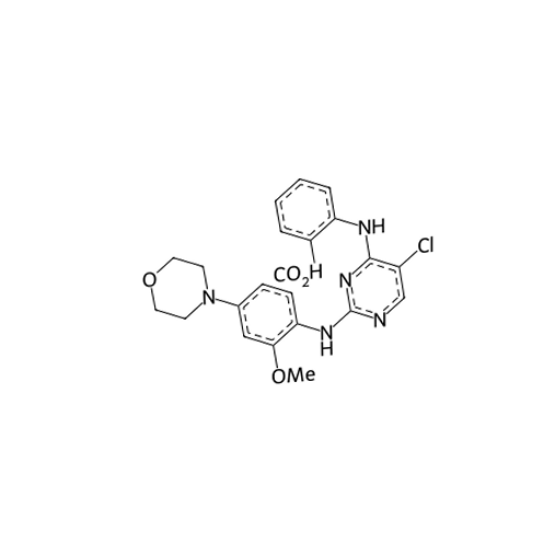 COc1cc(N2CCOCC2)ccc1Nc1ncc(Cl)c(Nc2ccccc2C(=O)O)n1